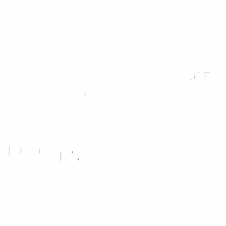 O=C(O)C1Cc2ccc(-c3ccc(C(F)(F)F)cc3)cc2CN1